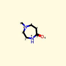 CN1CCNC(=O)CC1